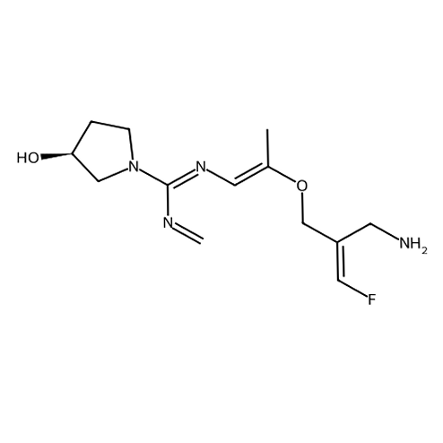 C=N/C(=N\C=C(/C)OC/C(=C/F)CN)N1CC[C@H](O)C1